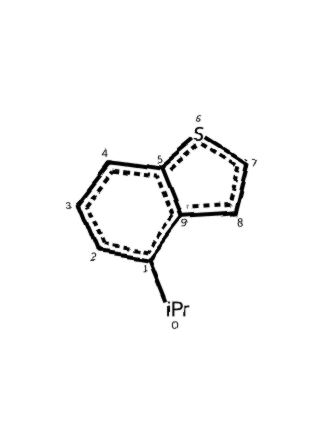 CC(C)c1cccc2s[c]cc12